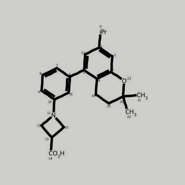 CC(C)c1cc2c(c(-c3cccc(N4CC(C(=O)O)C4)c3)c1)CCC(C)(C)O2